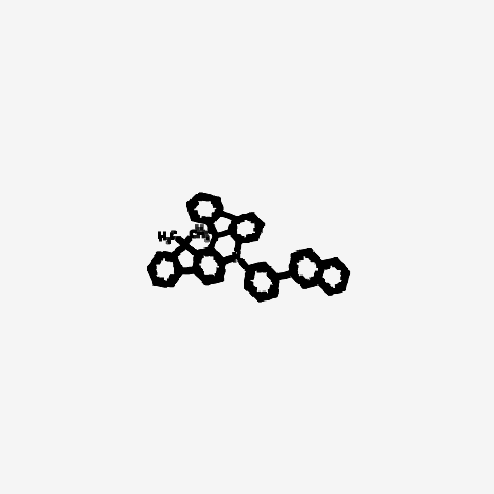 CC1(C)c2ccccc2-c2ccc3c(c21)C1(C)c2ccccc2-c2cccc(c21)N3c1cccc(-c2ccc3ccccc3c2)c1